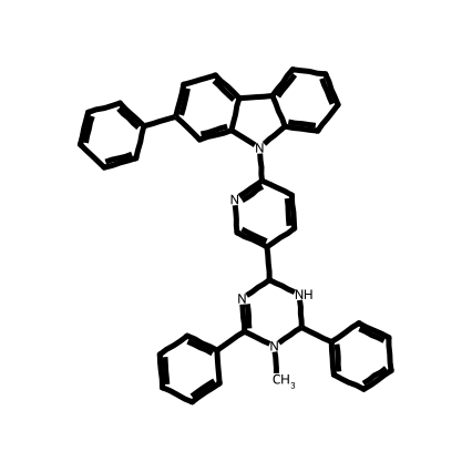 CN1C(c2ccccc2)=NC(c2ccc(-n3c4ccccc4c4ccc(-c5ccccc5)cc43)nc2)NC1c1ccccc1